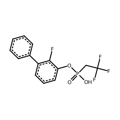 O=P(O)(CC(F)(F)F)Oc1cccc(-c2ccccc2)c1F